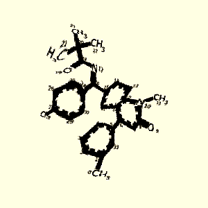 Cc1cccc(-c2cc(=O)n(C)c3ccc(/C(=N/C(=O)C(C)(C)C)c4ccc(Cl)cc4)cc23)c1